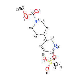 CC(C)(C)OC(=O)N1CCC(c2ccc(OS(=O)(=O)C(F)(F)F)nc2)CC1